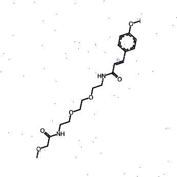 COCC(=O)NCCOCCOCCNC(=O)/C=C/c1ccc(OI)cc1